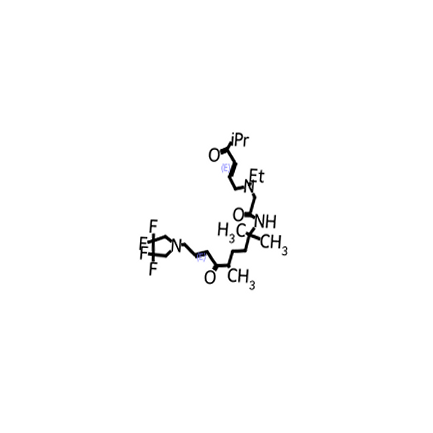 CCN(C/C=C/C(=O)C(C)C)CC(=O)NC(C)(C)CCC(C)C(=O)/C=C/CN1CC(F)(F)C(F)(F)C1